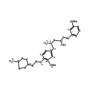 COc1cccc(OCC(O)CN(C)Cc2ccc(OCCN3CCC(C)CC3)c(OC)c2)c1